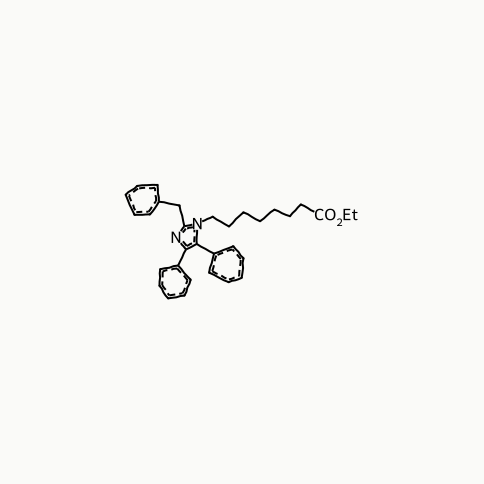 CCOC(=O)CCCCCCCn1c(Cc2ccccc2)nc(-c2ccccc2)c1-c1ccccc1